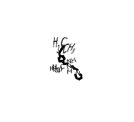 CC(C)Cc1ccc([C@H](C)C(=N)NCCCN2CCCCC2)cc1.Cl.Cl